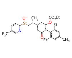 CCOC(=O)OC1=C(c2c(CC)cc(C)cc2CC)C(=O)CC(C(C)C[S+]([O-])c2ccc(C(F)(F)F)cn2)C1